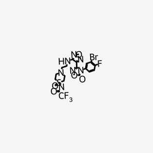 O=C(N=S1(=O)CCN(CCNc2nonc2-c2noc(=O)n2-c2ccc(F)c(Br)c2)CC1)C(F)(F)F